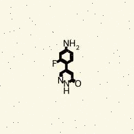 Nc1ccc(-c2cn[nH]c(=O)c2)c(F)c1